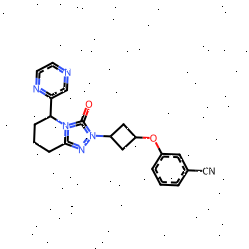 N#Cc1cccc(OC2CC(n3nc4n(c3=O)C(c3cnccn3)CCC4)C2)c1